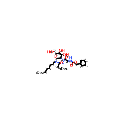 CCCCCCCCCCCCCCCCN(C(=O)CCCCCCCCCCC)[C@@H]1O[C@H](CO)[C@@H](O)[C@H](O)[C@H]1NC(=O)CNC(=O)OCc1ccccc1